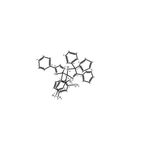 Cc1ccc(C2(C3(c4ccc(C)cc4C)N=C(c4ccccc4)C(c4ccccc4)(c4ccccc4)N3)N=CC(c3ccccc3)=N2)c(C)c1